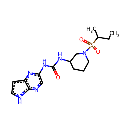 CCC(C)S(=O)(=O)N1CCCC(NC(=O)Nc2cnc3[nH]ccc3n2)C1